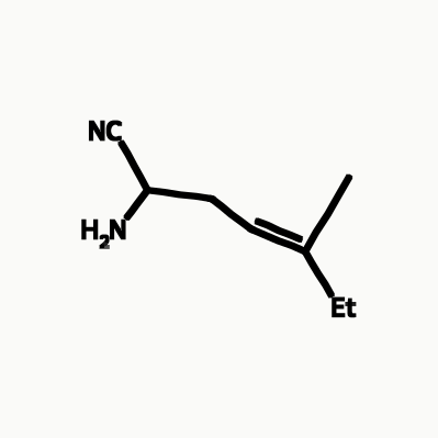 CCC(C)=CCC(N)C#N